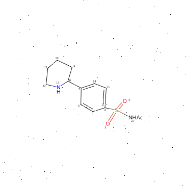 CC(=O)NS(=O)(=O)c1ccc(C2CCCCN2)cc1